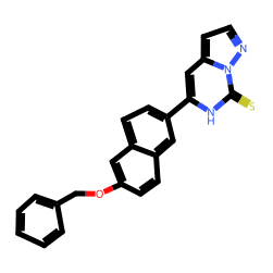 S=c1[nH]c(-c2ccc3cc(OCc4ccccc4)ccc3c2)cc2ccnn12